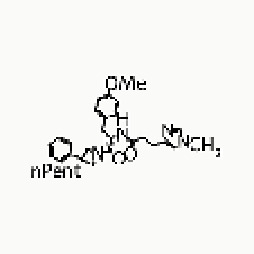 CCCCCC1(c2ccccc2)CN(C(=O)[C@@H](Cc2ccc(OC)cc2)NC(=O)CCc2cn(C)cn2)C1